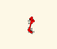 O=C(CN1Cc2ccccc2[C@@H]2OC(c3ccccc3)=N[C@]2(Cc2ccccc2)C1O)NCCCCCCCC(=O)Nc1cccc2c1CN(C1CCC(=O)NC1=O)C2=O